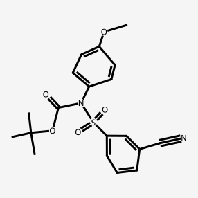 COc1ccc(N(C(=O)OC(C)(C)C)S(=O)(=O)c2cccc(C#N)c2)cc1